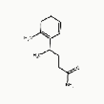 CC(CCC(N)=O)C1=C(N)CCC=C1